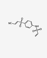 C=CS(=O)(=O)Nc1ccc(S(=O)(=O)C=CC#N)cc1